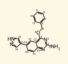 Nc1nc(OCc2ccccc2)c2cc(-c3cn[nH]c3)ccc2n1